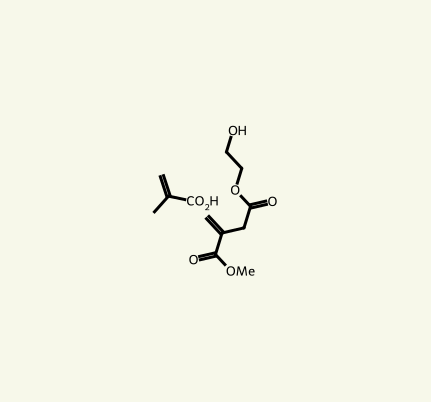 C=C(C)C(=O)O.C=C(CC(=O)OCCO)C(=O)OC